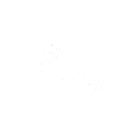 CCN(CCOS(=O)(=O)OCCN(CC)c1ccc(/N=N/c2n(C)cc[n+]2C)c(C)c1)c1ccc(/N=N/c2n(C)cc[n+]2C)c(C)c1